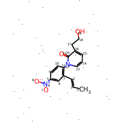 C/C=C/c1cc([N+](=O)[O-])ccc1-n1cccc(CCO)c1=O